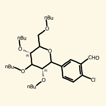 CCCCOCC1OC(c2ccc(Cl)c(C=O)c2)[C@H](OCCCC)C(OCCCC)[C@@H]1OCCCC